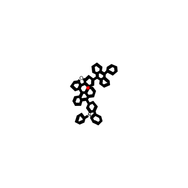 C1=Cc2c(c3c(n2-c2ccccc2)=CC(c2c4ccccc4c(-c4cccc5oc6cc(-c7c8ccccc8c(-c8ccccc8)c8ccccc78)ccc6c45)c4ccccc24)CC=3)CC1